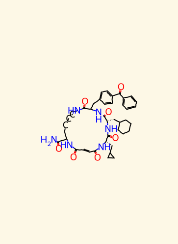 NC(=O)C1CCCCNC(=O)C(Cc2ccc(C(=O)c3ccccc3)cc2)NC(=O)[C@H](CC2CCCCC2)NC(=O)[C@H](CC2CC2)NC(=O)/C=C/C(=O)N1